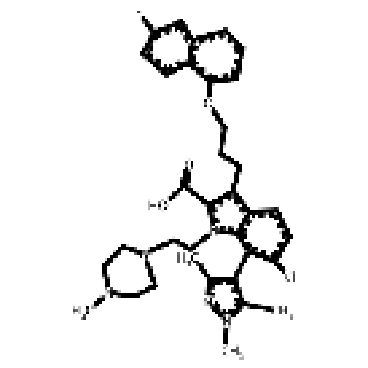 Cc1nn(C)c(C)c1-c1c(Cl)ccc2c(CCCOc3cccc4cc(F)ccc34)c(C(=O)O)n(CCN3CCN(C)CC3)c12